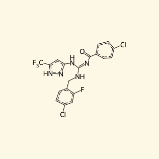 O=C(/N=C(/NCc1ccc(Cl)cc1F)Nc1cc(C(F)(F)F)[nH]n1)c1ccc(Cl)cc1